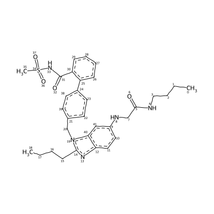 CCCCNC(=O)CNc1ccc2nc(CCCC)n(Cc3ccc(-c4ccccc4C(=O)NS(C)(=O)=O)cc3)c2c1